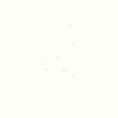 CCNCc1cncc(-c2ccc3[nH]nc(-c4cc5c(-c6ccccc6F)ccnc5[nH]4)c3n2)c1